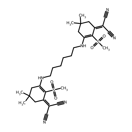 CC1(C)CC(NCCCCCCNC2=C(S(C)(=O)=O)C(=C(C#N)C#N)CC(C)(C)C2)=C(S(C)(=O)=O)C(=C(C#N)C#N)C1